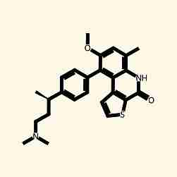 COc1cc(C)c2[nH]c(=O)c3sccc3c2c1-c1ccc([C@H](C)CCN(C)C)cc1